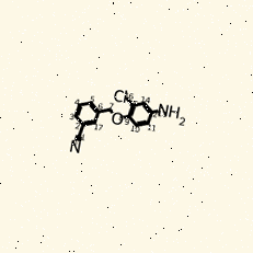 N#Cc1cccc(COc2ccc(N)cc2Cl)c1